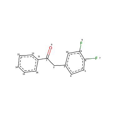 O=C(Cc1ccc(F)c(F)c1)c1ccccc1